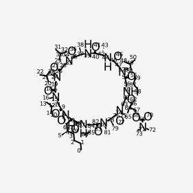 CCCC[C@@H](C)[C@H]1ON2C(=O)[C@H](C(C)C)N(C)C(=O)[C@H](CC(C)C)N(C)C(=O)[C@H](CC(C)C)N(C)C(=O)[C@@H](C)NC(=O)[C@H](C)NC(=O)[C@H](CC(C)C)N(C)C(=O)[C@H](C(C)C)NC(=O)[C@H](C(C)(C)COC(=O)N(C)C)N(C)C(=O)[C@@H](C)N(C)C(=O)[C@H](CC)NC(=O)[C@H]12